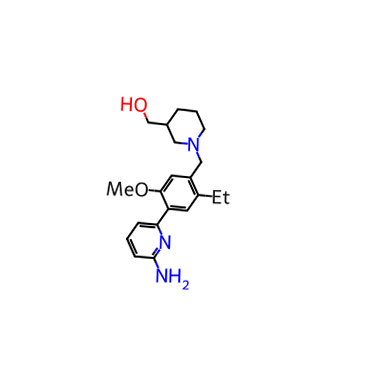 CCc1cc(-c2cccc(N)n2)c(OC)cc1CN1CCCC(CO)C1